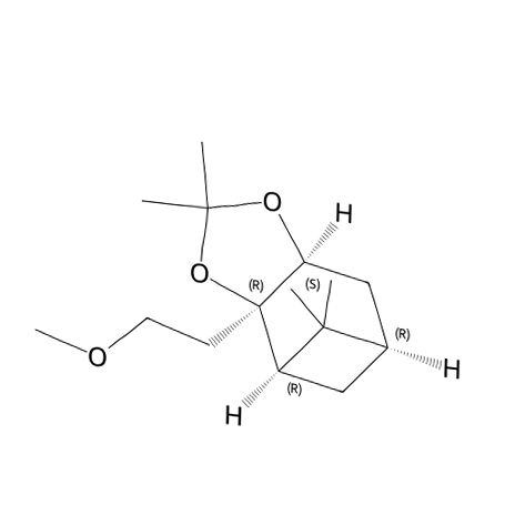 COCC[C@]12OC(C)(C)O[C@H]1C[C@H]1C[C@@H]2C1(C)C